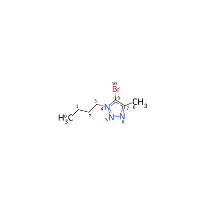 CCCCn1nnc(C)c1Br